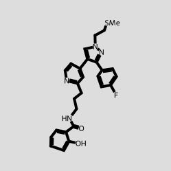 CSCCn1cc(-c2ccnc(CCCNC(=O)c3ccccc3O)c2)c(-c2ccc(F)cc2)n1